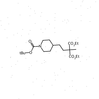 CCOC(=O)C(C)(CCC1CCN(C(=O)OC(C)(C)C)CC1)C(=O)OCC